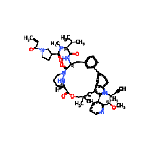 C#CCn1c(-c2cccnc2[C@H](C)OC)c2c3cc(ccc31)-c1cccc(c1)C[C@H](NC(=O)[C@H](C(C)C)N(C)C(=O)C1CCN(C(=O)C=C)C1)C(=O)N1CCC[C@H](N1)C(=O)OCC(C)(C)C2